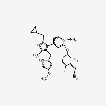 C#C/C=C\C(F)=C/CC(C)Oc1cc(-c2c(Cc3cc(OC)n[nH]3)c(C)nn2CC2CC2)cnc1N